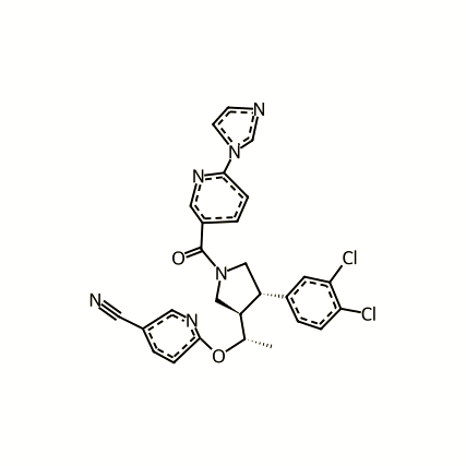 C[C@H](Oc1ccc(C#N)cn1)[C@H]1CN(C(=O)c2ccc(-n3ccnc3)nc2)C[C@@H]1c1ccc(Cl)c(Cl)c1